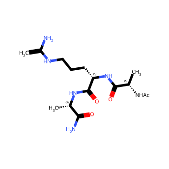 C=C(N)NCCC[C@H](NC(=O)[C@H](C)NC(C)=O)C(=O)N[C@@H](C)C(N)=O